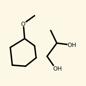 CC(O)CO.COC1CCCCC1